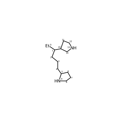 [CH2]CC(CCCC1CCCN1)C1CCNC1